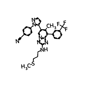 CSCCCNc1nc2c(-c3cccc(C(F)(F)F)c3)c(C)c(-c3ccnn3-c3ccc(C#N)cc3)cn2n1